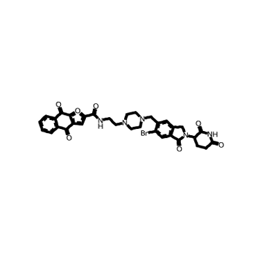 O=C1CCC(N2Cc3cc(CN4CCN(CCNC(=O)c5cc6c(o5)C(=O)c5ccccc5C6=O)CC4)c(Br)cc3C2=O)C(=O)N1